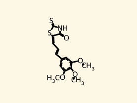 COc1cc(C=CC=C2SC(=S)NC2=O)cc(OC)c1OC